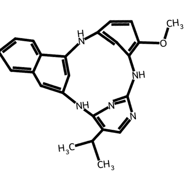 COc1ccc2cc1Nc1ncc(C(C)C)c(n1)Nc1cc(c3ccccc3c1)N2